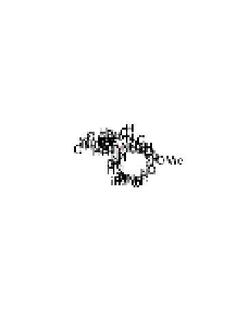 CC[C@H](C)C1NC(=O)CNC(=O)[C@@H]2Cc3c([nH]c4cc(O[PH](O)(O)O)c(NC(=O)CCCN5C(=O)C=CC5=O)cc34)SC[C@H](NC(=O)CNC1=O)C(=O)N[C@@H](CC(=O)OC)C(=O)N1CCC[C@H]1C(=O)N[C@@H]([C@@H](C)CC)C(=O)N2